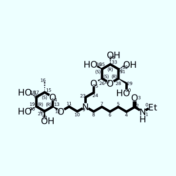 CCNC(=O)CCCCCN(CCO[C@@H]1O[C@@H](C)[C@@H](O)[C@@H](O)[C@@H]1O)CCO[C@H]1O[C@H](CO)[C@@H](O)[C@@H](O)[C@@H]1O